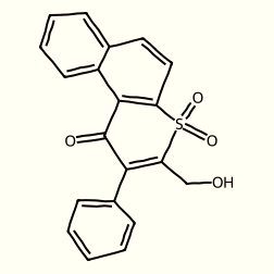 O=C1C(c2ccccc2)=C(CO)S(=O)(=O)c2ccc3ccccc3c21